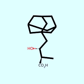 C[C@@H](C(=O)O)[C@H](O)CC12CC3CC(CC(C3)C1)C2